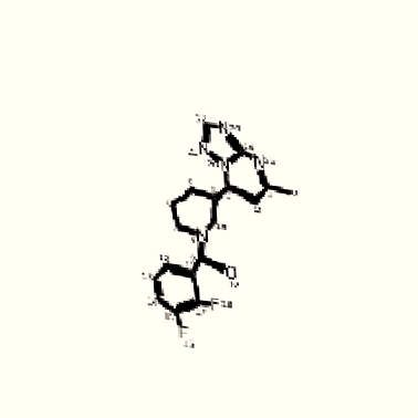 Cc1cc(C2CCCN(C(=O)c3cccc(F)c3F)C2)n2ncnc2n1